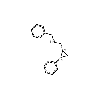 c1ccc(CNC[C@@H]2C[C@H]2c2ccccc2)cc1